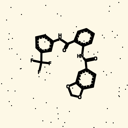 O=C(Nc1ccccc1C(=O)Nc1cccc(C(F)(F)F)c1)c1ccc2c(c1)OCO2